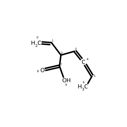 C=CC([C]=C=CC)C(=O)O